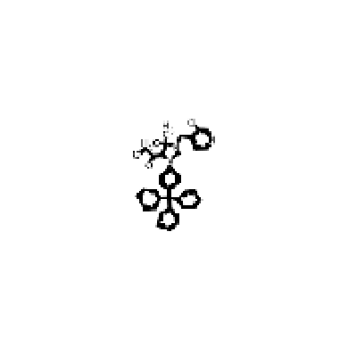 CC1(C)C(C(=O)C=O)N(c2ccc(C(c3ccccc3)(c3ccccc3)c3ccccc3)cc2)CN1Cc1ccncc1Cl